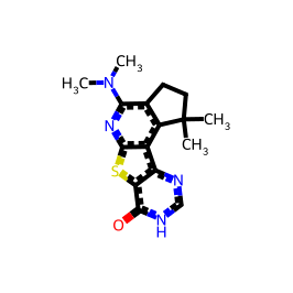 CN(C)c1nc2sc3c(=O)[nH]cnc3c2c2c1CCC2(C)C